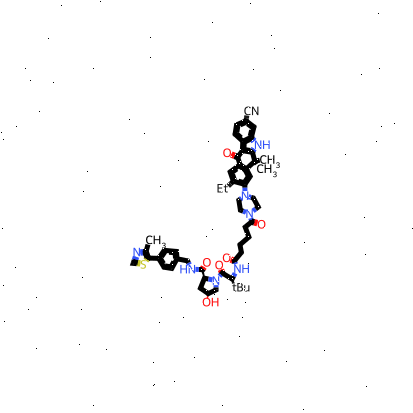 CCc1cc2c(cc1N1CCN(C(=O)CCCCC(=O)N[C@H](C(=O)N3C[C@H](O)C[C@H]3C(=O)NCc3ccc(-c4scnc4C)cc3)C(C)(C)C)CC1)C(C)(C)c1[nH]c3cc(C#N)ccc3c1C2=O